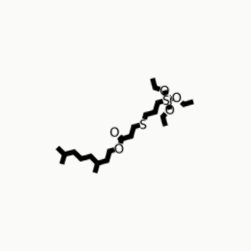 CCO[Si](CCCSCCC(=O)OCCC(C)CCCC(C)C)(OCC)OCC